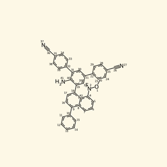 CON(F)c1cccc2c(-c3ccccc3)ccc(-c3cc(-c4ccc(C#N)cc4)cc(-c4ccc(C#N)cc4)c3N)c12